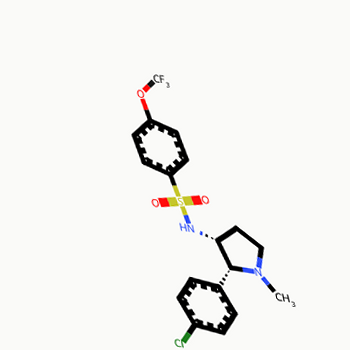 CN1CC[C@@H](NS(=O)(=O)c2ccc(OC(F)(F)F)cc2)[C@H]1c1ccc(Cl)cc1